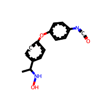 CC(NO)c1ccc(Oc2ccc(N=C=O)cc2)cc1